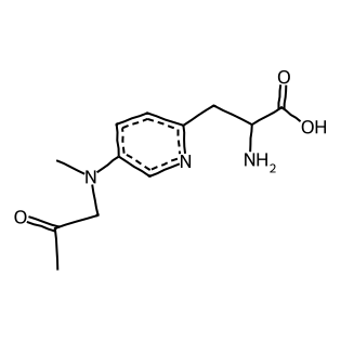 CC(=O)CN(C)c1ccc(CC(N)C(=O)O)nc1